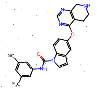 N#Cc1cc(NC(=O)n2ccc3cc(Oc4ncnc5c4CCNC5)ccc32)cc(C(F)(F)F)c1